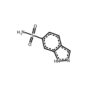 NS(=O)(=O)c1ccc2cn[nH]c2c1